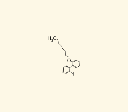 CCCCCCCCOc1ccccc1-c1ccccc1I